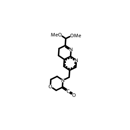 COC(OC)C1=Nc2ncc(CN3CCOCC3=C=O)cc2CC1